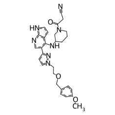 COc1ccc(COCCn2ccc(-c3cnc4[nH]ccc4c3NC3CCCN(C(=O)CC#N)C3)n2)cc1